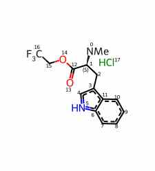 CN[C@@H](Cc1c[nH]c2ccccc12)C(=O)OCC(F)(F)F.Cl